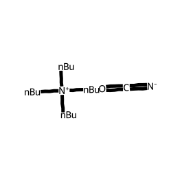 CCCC[N+](CCCC)(CCCC)CCCC.[N-]=C=O